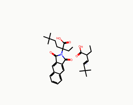 CCC(/C=C/C(C)(C)C)C(=O)O.CCC(CCC(C)(C)C)(C(=O)O)N1C(=O)c2cc3ccccc3cc2C1=O